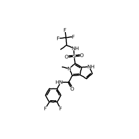 CC(NS(=O)(=O)c1c2[nH]ccc2c(C(=O)Nc2ccc(F)c(F)c2)n1C)C(F)(F)F